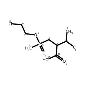 CC(Cl)C(CP(C)(=O)OCCCl)C(=O)O